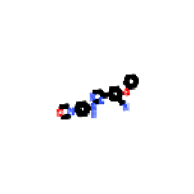 N#Cc1cc(-c2ccnc(Nc3ccc(N4CCOCC4)cc3)n2)ccc1Oc1ccccc1